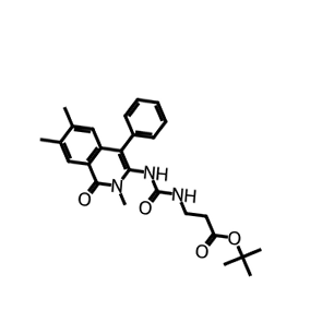 Cc1cc2c(-c3ccccc3)c(NC(=O)NCCC(=O)OC(C)(C)C)n(C)c(=O)c2cc1C